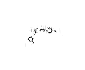 CCc1cccc(OCC(O)CNC(C)(C)COc2ccc(NN)nn2)c1.Cl